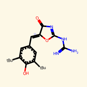 CC(C)(C)c1cc(/C=C2\OC(NC(=N)N)=NC2=O)cc(C(C)(C)C)c1O